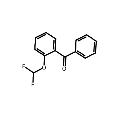 O=C(c1ccccc1)c1ccccc1OC(F)F